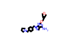 Nc1nc(OCC2C3COCC32)nc2c1cnn2Cc1ccc(CN2CCCC2)cc1